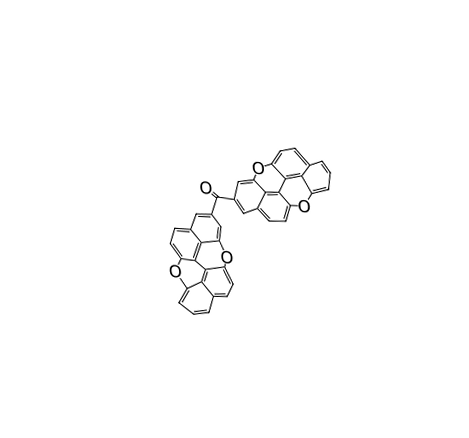 O=C(c1cc2ccc3oc4cccc5ccc6oc(c1)c2c3-c6c54)c1cc2ccc3oc4cccc5ccc6oc(c1)c2c3-c6c54